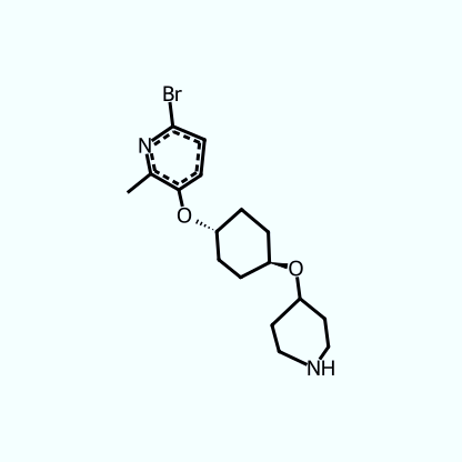 Cc1nc(Br)ccc1O[C@H]1CC[C@H](OC2CCNCC2)CC1